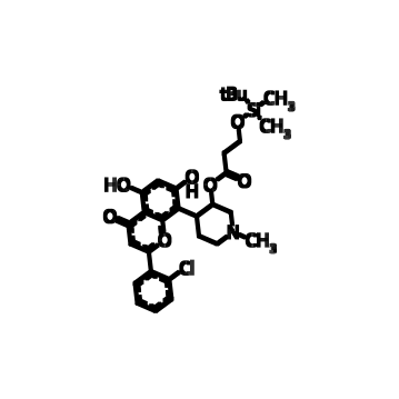 CN1CCC(c2c(O)cc(O)c3c(=O)cc(-c4ccccc4Cl)oc23)C(OC(=O)CCO[Si](C)(C)C(C)(C)C)C1